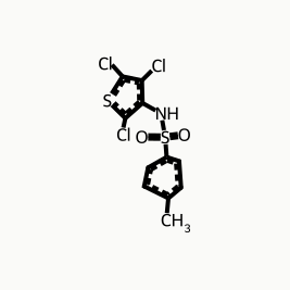 Cc1ccc(S(=O)(=O)Nc2c(Cl)sc(Cl)c2Cl)cc1